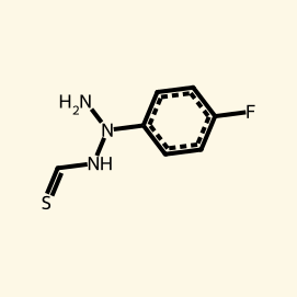 NN(NC=S)c1ccc(F)cc1